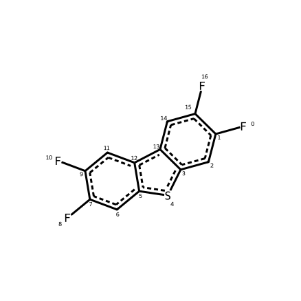 Fc1cc2sc3cc(F)c(F)cc3c2cc1F